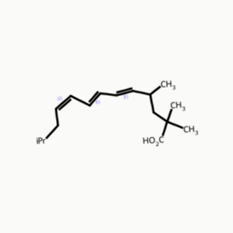 CC(C)C\C=C/C=C/C=C/C(C)CC(C)(C)C(=O)O